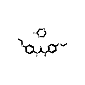 C1COCC[N-]1.CCOc1ccc(NC(=S)Nc2ccc(OCC)cc2)cc1.[Na+]